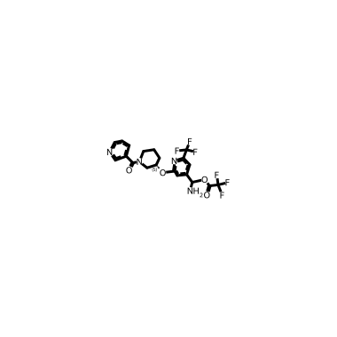 NC(OC(=O)C(F)(F)F)c1cc(O[C@H]2CCCN(C(=O)c3cccnc3)C2)nc(C(F)(F)F)c1